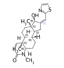 CN1C(=O)C=C[C@]2(C)[C@H]3CC[C@]4(C)[C@@H](O)/C(=C\c5nccs5)C[C@H]4[C@@H]3CC[C@@H]12